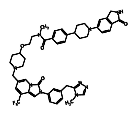 CN(CCOC1CCN(Cc2cc(C(F)(F)F)c3cn(-c4cccc(Cc5nncn5C)c4)c(=O)n3c2)CC1)C(=O)c1ccc(C2CCN(c3ccc4c(c3)CNC4=O)CC2)cc1